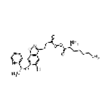 C[C@@H](Oc1cc2onc(CCC(=O)OOC(=O)[C@@H](N)CCCCN)c2cc1Cl)c1ccccn1